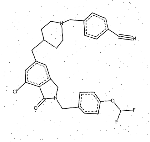 N#Cc1ccc(CN2CCC(Cc3cc(Cl)c4c(c3)CN(Cc3ccc(OC(F)F)cc3)C4=O)CC2)cc1